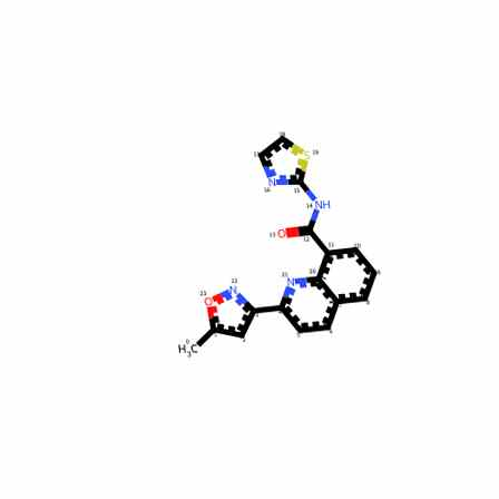 Cc1cc(-c2ccc3cccc(C(=O)Nc4nccs4)c3n2)no1